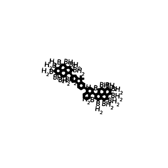 Bc1c(B)c2c(B)c(B)c3c(B)c(B)c(-c4ccc5c(c4)C(C)(C)c4cc(-c6ccc(-c7c(B)c(B)c8c(B)c(B)c9c(B)c(B)c(B)c%10c(B)c(B)c7c8c9%10)c7ccccc67)ccc4-5)c4c(B)c(B)c(c1B)c2c34